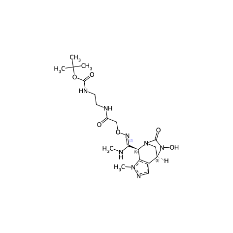 CN/C(=N\OCC(=O)NCCNC(=O)OC(C)(C)C)[C@@H]1c2c(cnn2C)[C@H]2CN1C(=O)N2O